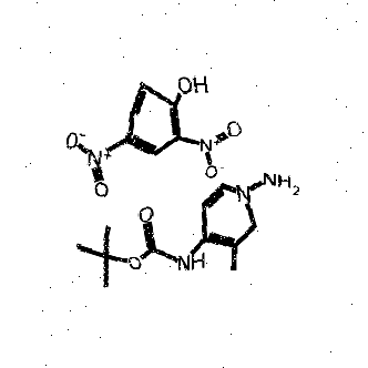 CC1=C(NC(=O)OC(C)(C)C)C=CN(N)C1.O=[N+]([O-])c1ccc(O)c([N+](=O)[O-])c1